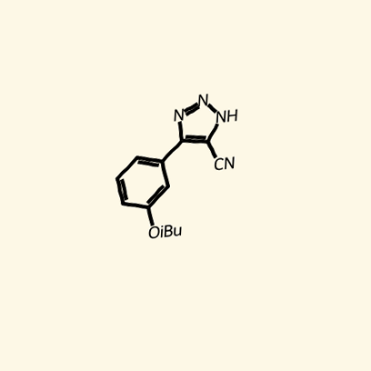 CC(C)COc1cccc(-c2nn[nH]c2C#N)c1